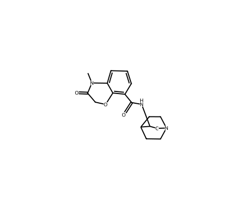 CN1C(=O)COc2c(C(=O)NC3CN4CCC3CC4)cccc21